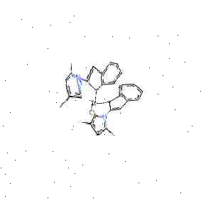 Cc1cc(C)n(C2=Cc3ccccc3[CH]2[Zr]([CH2]Cl)[CH]2C(n3cc(C)cc3C)=Cc3ccccc32)c1